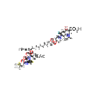 CCCCCCC(CCCCCCCCCCC(=O)OC1CCN(c2c(F)cc3c(=O)c(C(=O)O)cn4c3c2CCC4C)CC1)OC(=O)C1=C(COC(C)=O)CS[C@H]2[C@@H](NC(=O)Cc3cccs3)C(=O)N12